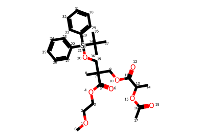 COCCOC(=O)C(C)(COC(=O)C(C)OC(C)=O)CO[Si](c1ccccc1)(c1ccccc1)C(C)(C)C